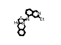 CCc1cc2c(N=C3SC[C@@H]4Cc5ccccc5CN34)cccc2cn1